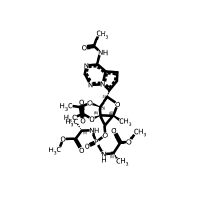 COC(=O)[C@H](C)NP(=O)(N[C@@H](C)C(=O)OC)OC1[C@@]2(C)O[C@@H](c3ccc4c(NC(C)=O)ncnn34)[C@H](OC(C)=O)[C@@]12OC(C)=O